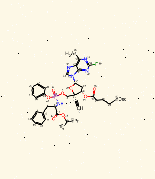 C#C[C@]1(CO[P@@](=O)(NC(Cc2ccccc2)C(=O)OC(CCC)CCC)Oc2ccccc2)O[C@@H](n2cnc3c([AsH2])nc(F)nc32)C[C@@H]1OC(=O)CCCCCCCCCCCCC